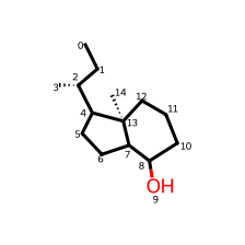 CC[C@@H](C)C1CCC2C(O)CCC[C@@]21C